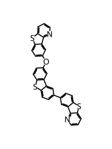 c1cnc2c(c1)sc1ccc(Oc3ccc4sc5ccc(-c6ccc7sc8cccnc8c7c6)cc5c4c3)cc12